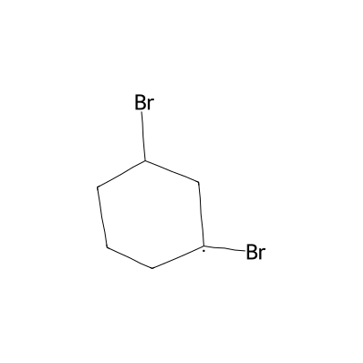 Br[C]1CCCC(Br)C1